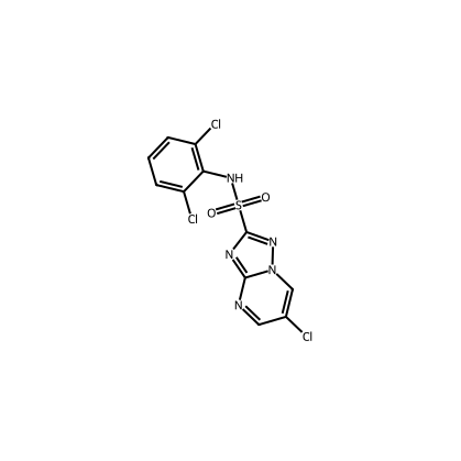 O=S(=O)(Nc1c(Cl)cccc1Cl)c1nc2ncc(Cl)cn2n1